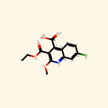 CCOC(=O)c1c(OC)nc2cc(Br)ccc2c1C(=O)O